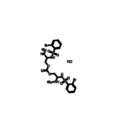 CC(C)(C)NC(COC(=O)OCC(NC(C)(C)C)NS(=O)(=O)c1ccccc1Br)NS(=O)(=O)c1ccccc1Br.Cl